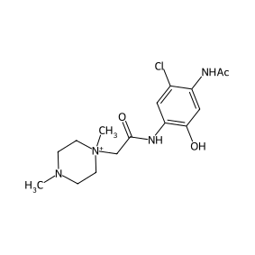 CC(=O)Nc1cc(O)c(NC(=O)C[N+]2(C)CCN(C)CC2)cc1Cl